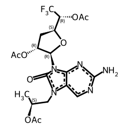 CC(=O)O[C@H]([C@@H]1C[C@@H](OC(C)=O)[C@H](n2c(=O)n(C[C@H](C)OC(C)=O)c3cnc(N)nc32)O1)C(F)(F)F